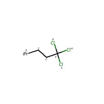 CC(C)CCC(Cl)(Cl)Cl